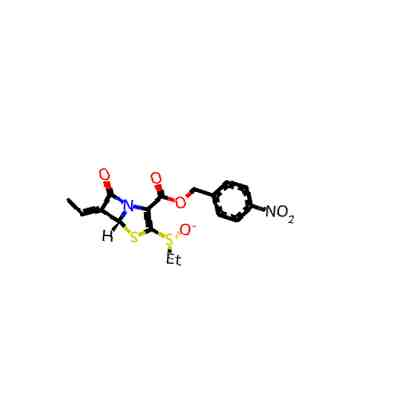 C/C=C1\C(=O)N2C(C(=O)OCc3ccc([N+](=O)[O-])cc3)=C([S+]([O-])CC)S[C@H]12